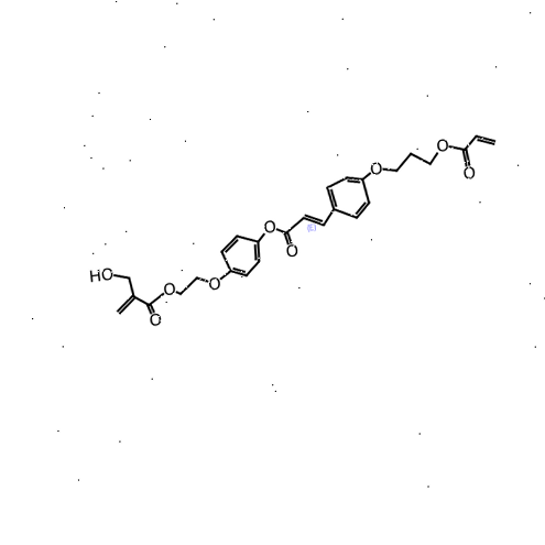 C=CC(=O)OCCCOc1ccc(/C=C/C(=O)Oc2ccc(OCCOC(=O)C(=C)CO)cc2)cc1